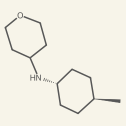 C[C@H]1CC[C@H](NC2CCOCC2)CC1